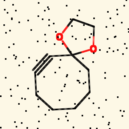 C1#CC2(CCCCC1)OCCO2